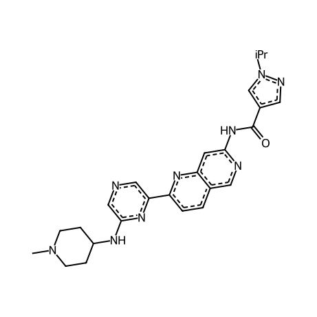 CC(C)n1cc(C(=O)Nc2cc3nc(-c4cncc(NC5CCN(C)CC5)n4)ccc3cn2)cn1